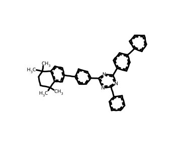 CC1(C)CCC(C)(C)c2cc(-c3ccc(-c4nc(-c5ccccc5)nc(-c5ccc(-c6ccccc6)cc5)n4)cc3)ccc21